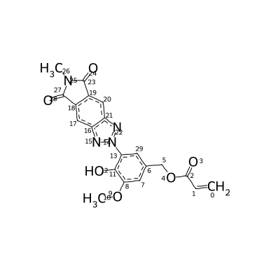 C=CC(=O)OCc1cc(OC)c(O)c(-n2nc3cc4c(cc3n2)C(=O)N(C)C4=O)c1